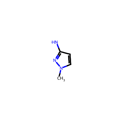 Cn1ccc([NH])n1